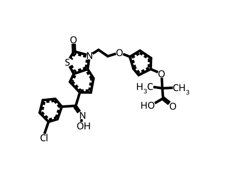 CC(C)(Oc1ccc(OCCn2c(=O)sc3cc(C(=NO)c4cccc(Cl)c4)ccc32)cc1)C(=O)O